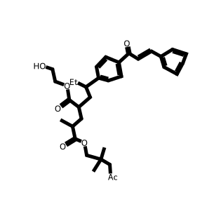 CCC(CC(CC(C)C(=O)OCC(C)(C)CC(C)=O)C(=O)OCCO)c1ccc(C(=O)C=Cc2ccccc2)cc1